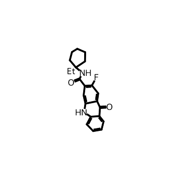 CCC1(NC(=O)c2cc3[nH]c4ccccc4c(=O)c3cc2F)CCCCC1